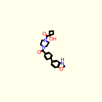 O=C(c1ccc(-c2ccc3c(c2)NCO3)cc1)N1CCN(C(=O)C2(O)CCC2)CC1